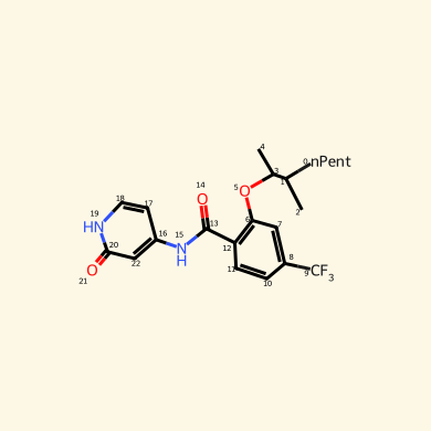 CCCCCC(C)C(C)Oc1cc(C(F)(F)F)ccc1C(=O)Nc1cc[nH]c(=O)c1